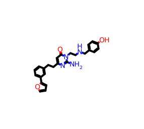 Nc1nc(CCc2cccc(-c3ccco3)c2)cc(=O)n1CCNCc1ccc(O)cc1